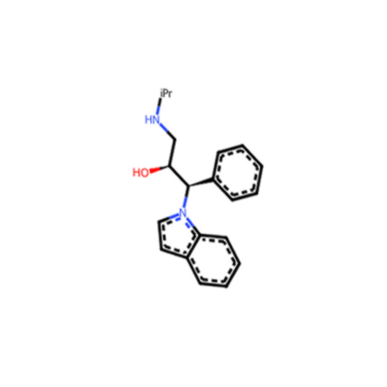 CC(C)NC[C@H](O)[C@@H](c1ccccc1)n1ccc2ccccc21